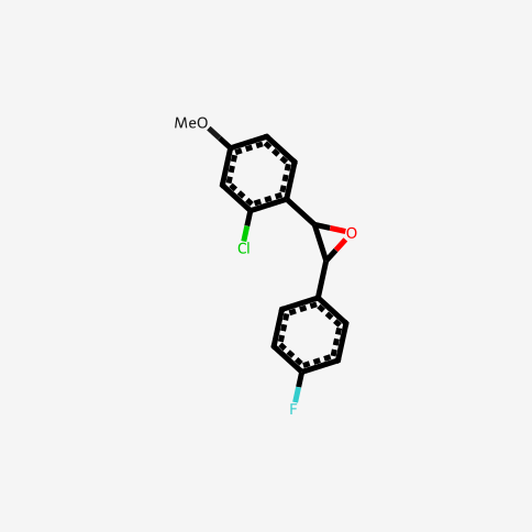 COc1ccc(C2OC2c2ccc(F)cc2)c(Cl)c1